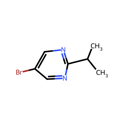 CC(C)c1ncc(Br)cn1